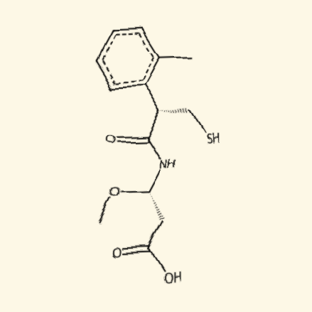 CO[C@@H](CC(=O)O)NC(=O)[C@@H](CS)c1ccccc1C